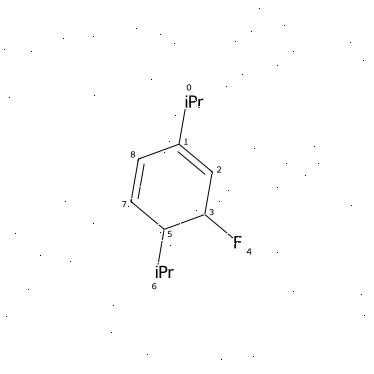 CC(C)C1=CC(F)C(C(C)C)C=C1